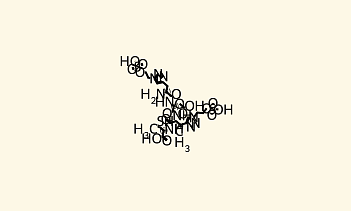 CC(S)[C@@H](NC(=O)C(NC(=O)[C@@H](NC(=O)[C@@H](N)Cc1cn(CCOS(=O)(=O)O)nn1)OC(=O)O)[C@@H](C)c1cn(CCOS(=O)(=O)O)nn1)C(=O)O